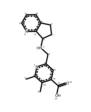 Cc1nc(CNC2CCc3cccnc32)cc(C(=O)O)c1C